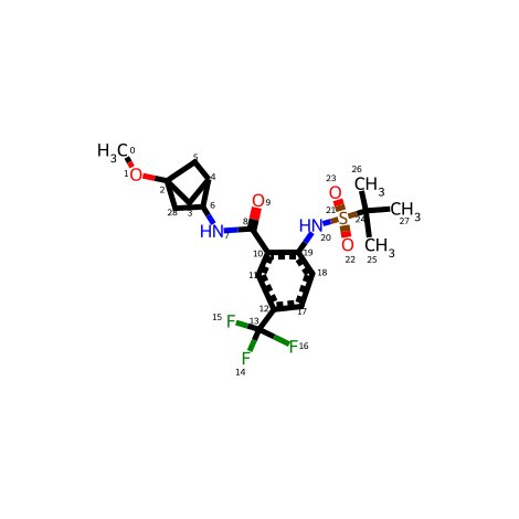 COC12CC(C1)C(NC(=O)c1cc(C(F)(F)F)ccc1NS(=O)(=O)C(C)(C)C)C2